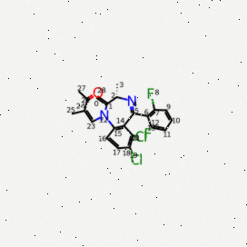 C=C1[C@H](C)N=C(c2c(F)cccc2F)c2c(ccc(Cl)c2Cl)N1/C=C(/C)C(C)=O